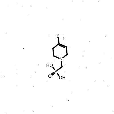 CC1=CCN(CP(=O)(O)O)CC1